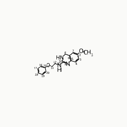 COc1ccc2c(c1)CNC(NCCOc1ccccc1)=N2